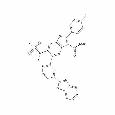 CNC(=O)c1c(-c2ccc(F)cc2)oc2cc(N(C)S(C)(=O)=O)c(-c3cc(-c4nc5ncccc5o4)ccn3)cc12